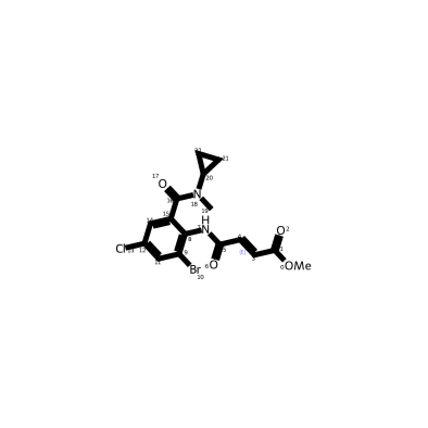 COC(=O)/C=C/C(=O)Nc1c(Br)cc(Cl)cc1C(=O)N(C)C1CC1